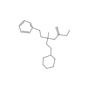 CCC(=O)CC(C)(CCc1ccccc1)CCC1CCCCC1